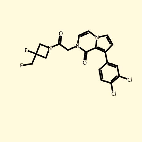 O=C(Cn1ccn2ccc(-c3ccc(Cl)c(Cl)c3)c2c1=O)N1CC(F)(CF)C1